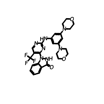 O=c1[nH]n(-c2nc(Nc3cc(N4CCOCC4)cc(N4CCOCC4)c3)ncc2C(F)(F)F)c2ccccc12